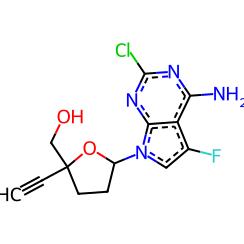 C#CC1(CO)CCC(n2cc(F)c3c(N)nc(Cl)nc32)O1